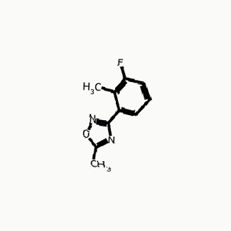 Cc1nc(-c2cccc(F)c2C)no1